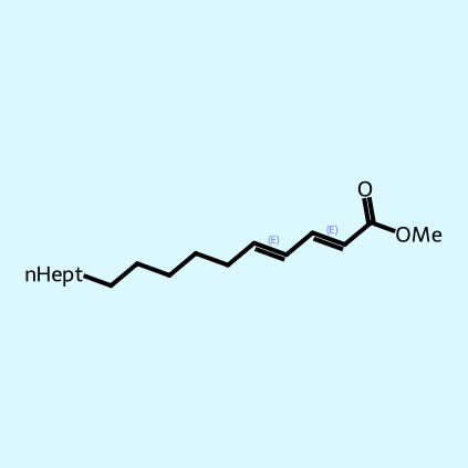 CCCCCCCCCCCC/C=C/C=C/C(=O)OC